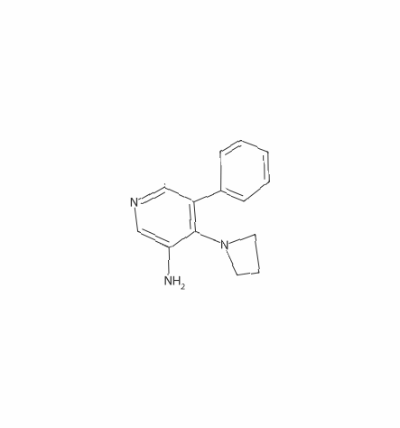 Nc1cn[c]c(-c2ccccc2)c1N1CCC1